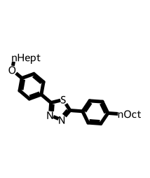 CCCCCCCCc1ccc(-c2nnc(-c3ccc(OCCCCCCC)cc3)s2)cc1